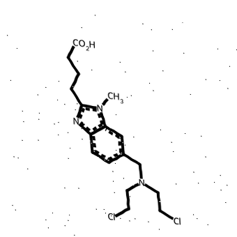 Cn1c(CCCC(=O)O)nc2ccc(CN(CCCl)CCCl)cc21